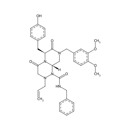 C=CCN1CC(=O)N2[C@@H](Cc3ccc(O)cc3)C(=O)N(Cc3ccc(OC)c(OC)c3)C[C@@H]2N1C(=O)NCc1ccccc1